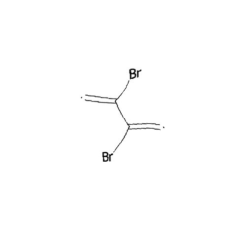 [CH]=C(Br)C(=[CH])Br